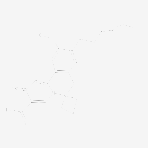 COCCCCc1cc2c(cc1OC)-c1cc(=O)c(C(=O)O)cn1C1(CCC1)C2